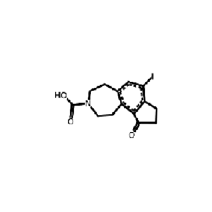 O=C1CCc2c(I)cc3c(c21)CCN(C(=O)O)CC3